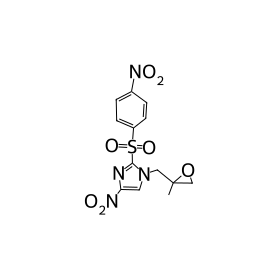 CC1(Cn2cc([N+](=O)[O-])nc2S(=O)(=O)c2ccc([N+](=O)[O-])cc2)CO1